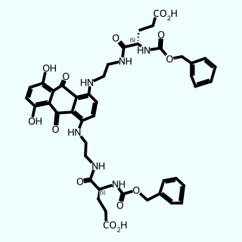 O=C(O)CC[C@H](NC(=O)OCc1ccccc1)C(=O)NCCNc1ccc(NCCNC(=O)[C@H](CCC(=O)O)NC(=O)OCc2ccccc2)c2c1C(=O)c1c(O)ccc(O)c1C2=O